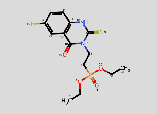 CCOP(=O)(CCn1c(=S)[nH]c2ccc(F)cc2c1=O)OCC